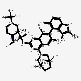 [2H]C([2H])([2H])N1CC/C(=C\F)[C@](C)(C([2H])([2H])Oc2nc(N3C[C@H]4CC[C@@H](C3)N4)c3cc(Cl)c(-c4c(F)ccc5sc(N)c(C#N)c45)c(F)c3n2)C1